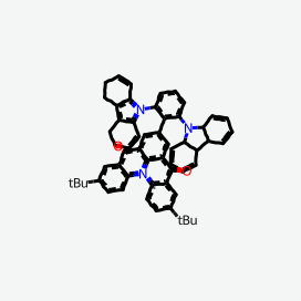 CC(C)(C)c1ccc2c(c1)c(=O)c1cc(-c3c(N4C5C=CC=CC5C5C=CC=CC54)cccc3-n3c4c(c5c3C=CCC5)CCC=C4)cc3c(=O)c4cc(C(C)(C)C)ccc4n2c13